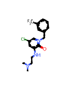 CN(C)CCNc1cc(Cl)cn(Cc2cccc(C(F)(F)F)c2)c1=O